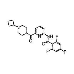 O=C(Nc1cccc(C(=O)C2CCN(C3CCC3)CC2)n1)c1c(F)cc(F)cc1F